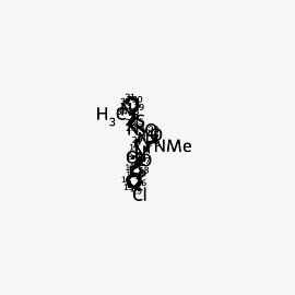 CNC(=O)C1CN(S(=O)(=O)c2cc3ccc(Cl)cc3s2)CCN1C(=O)c1ncc(C2CCCCN2C)s1